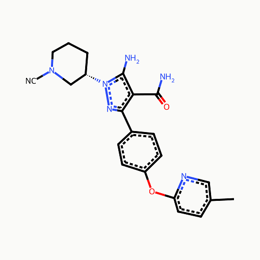 Cc1ccc(Oc2ccc(-c3nn([C@H]4CCCN(C#N)C4)c(N)c3C(N)=O)cc2)nc1